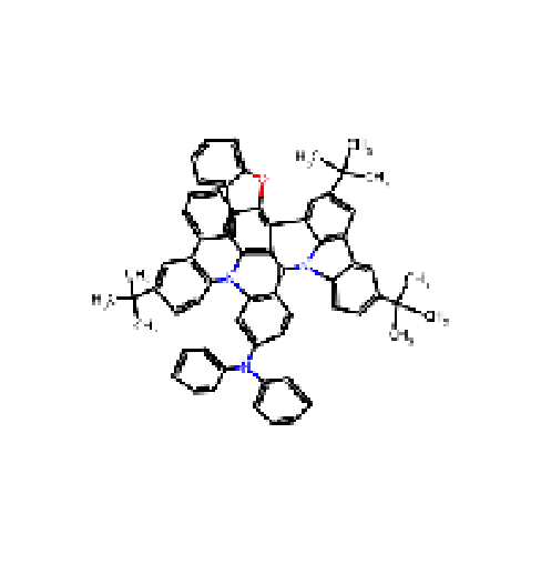 CC(C)(C)c1ccc(N2c3cc(N(c4ccccc4)c4ccccc4)ccc3B3c4c2cc2c(oc5ccccc52)c4-c2cc(C(C)(C)C)cc4c5cc(C(C)(C)C)ccc5n3c24)c(-c2ccccc2)c1